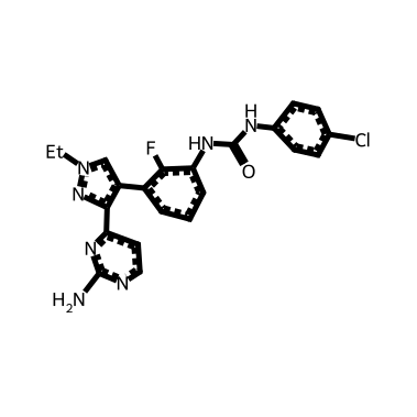 CCn1cc(-c2cccc(NC(=O)Nc3ccc(Cl)cc3)c2F)c(-c2ccnc(N)n2)n1